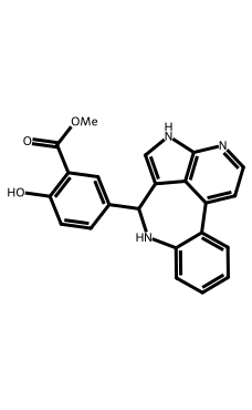 COC(=O)c1cc(C2Nc3ccccc3-c3ccnc4[nH]cc2c34)ccc1O